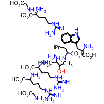 CC(C)CC(N)C(=O)O.CC(O)C(N)C(=O)O.N=C(N)NCCCC(N)C(=O)O.N=C(N)NCCCC(N)C(=O)O.N=C(N)NCCCC(N)C(=O)O.NC(Cc1c[nH]c2ccccc12)C(=O)O.NCC(=O)O.NCC(=O)O